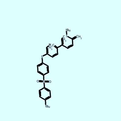 C=C(/C=C\C(=C/C)C(=C)/C=C\C(=C/C)Sc1ccc(S(=O)(=O)c2ccc(C(C)(C)C)cc2)cc1)SC(C)(C)C